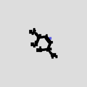 C[C@H](N)/C=C\[C@H](C)O